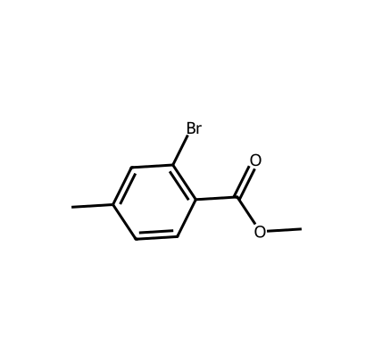 COC(=O)c1ccc(C)cc1Br